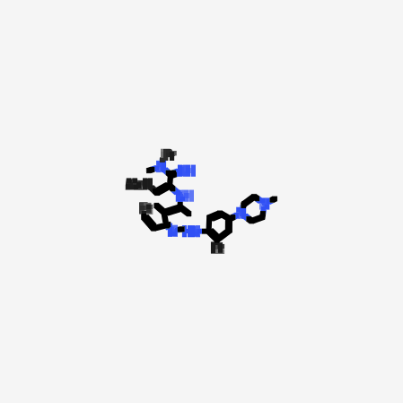 CC\C=C/C(=N/CNc1ccc(N2CCN(C)CC2)cc1CC)C(/C)=C(\C)N/C(=C/NC)C(=N)N(C)C(C)C